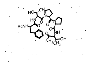 CC(=O)N[C@H](Cc1ccccc1)C(=O)N[C@H](C(=O)N1CCC[C@H]1C(=O)N1CCC[C@H]1C(=O)N[C@H](C(N)=O)[C@@H](C)O)[C@@H](C)O